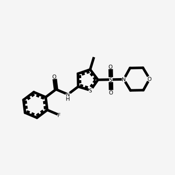 Cc1cc(NC(=O)c2ccccc2F)sc1S(=O)(=O)N1CCOCC1